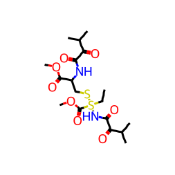 CCS(NC(=O)C(=O)C(C)C)(SCC(NC(=O)C(=O)C(C)C)C(=O)OC)C(=O)OC